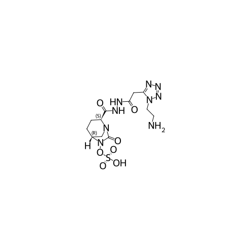 NCCn1nnnc1CC(=O)NNC(=O)[C@@H]1CC[C@@H]2CN1C(=O)N2OS(=O)(=O)O